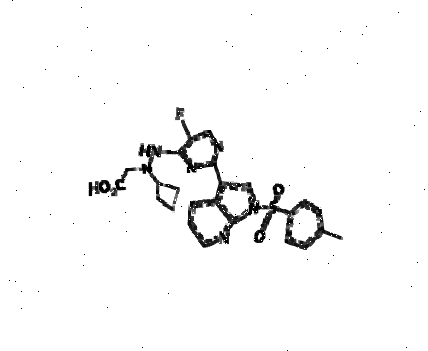 Cc1ccc(S(=O)(=O)n2cc(-c3ncc(F)c(NN(CC(=O)O)C4CCC4)n3)c3cccnc32)cc1